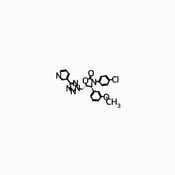 COc1cccc([C@H]2[C@H](Cn3nnc(-c4cccnc4)n3)OC(=O)N2c2ccc(Cl)cc2)c1